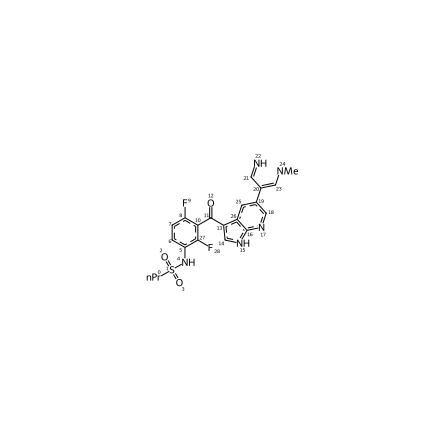 CCCS(=O)(=O)Nc1ccc(F)c(C(=O)c2c[nH]c3ncc(/C(C=N)=C/NC)cc23)c1F